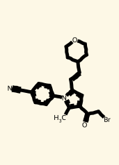 Cc1c(C(=O)CBr)cc(C=CC2CCOCC2)n1-c1ccc(C#N)cc1